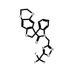 O=C1N(Cc2noc(C(F)(F)F)n2)c2ccccc2C12COc1cc3c(cc12)OCCO3